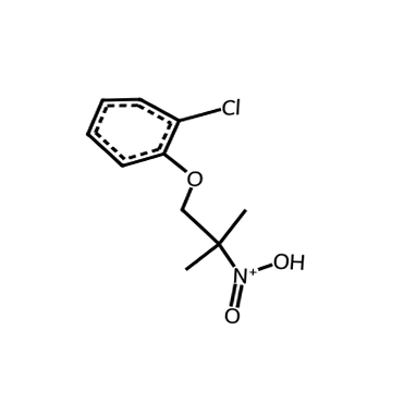 CC(C)(COc1ccccc1Cl)[N+](=O)O